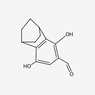 O=Cc1cc(O)c2c(c1O)C1CCC2CC1